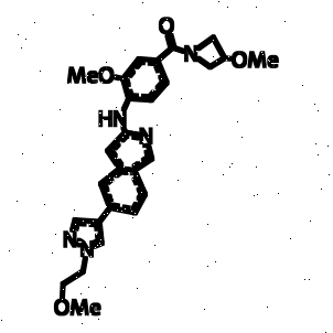 COCCn1cc(-c2ccc3cnc(Nc4ccc(C(=O)N5CC(OC)C5)cc4OC)cc3c2)cn1